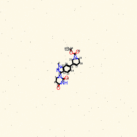 Cn1nc(N2CCC(=O)NC2=O)c2ccc(C3=CCCN(C(=O)OC(C)(C)C)C3)cc21